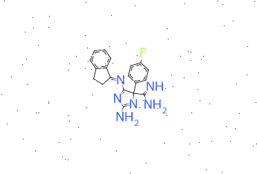 N=C(N)C1(c2ccc(F)cc2)N=C(N)N=C1N=C1CCc2ccccc21